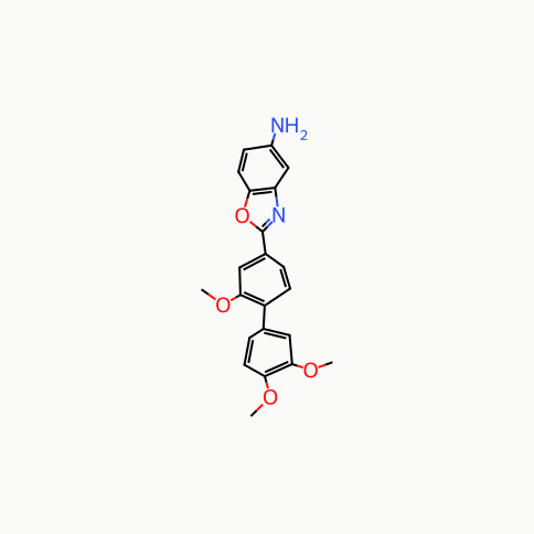 COc1ccc(-c2ccc(-c3nc4cc(N)ccc4o3)cc2OC)cc1OC